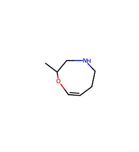 CC1CNCC/C=C\O1